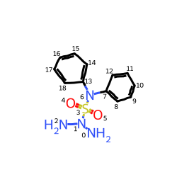 NN(N)S(=O)(=O)N(c1ccccc1)c1ccccc1